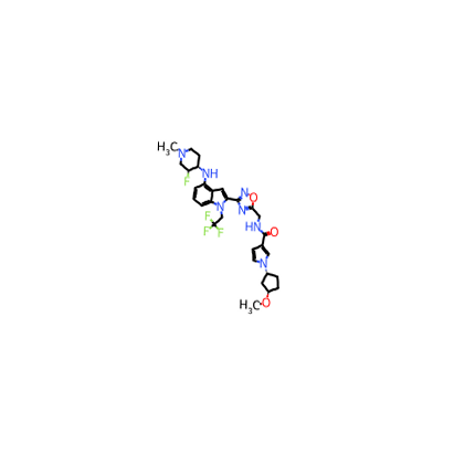 CO[C@@H]1CC[C@@H](n2ccc(C(=O)NCc3nc(-c4cc5c(N[C@@H]6CCN(C)C[C@@H]6F)cccc5n4CC(F)(F)F)no3)c2)C1